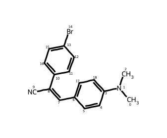 CN(C)c1ccc(C=C(C#N)c2ccc(Br)cc2)cc1